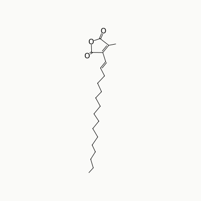 CCCCCCCCCCCCCC/C=C/C1=C(C)C(=O)OC1=O